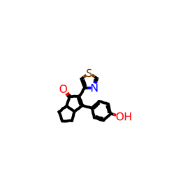 O=C1C(c2cscn2)=C(c2ccc(O)cc2)C2CCCC12